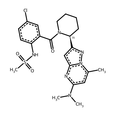 Cc1cc(N(C)C)nc2cc([C@@H]3CCCCN3C(=O)c3cc(Cl)ccc3NS(C)(=O)=O)nn12